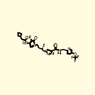 O=C(CC1CCC1)Nc1ccn(CCC(F)Cn2cc(C(=O)NCc3ccc(OC(F)(F)F)cn3)nn2)c(=O)c1F